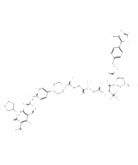 CC(=O)c1c(C)c2cnc(Nc3ccc(N4CCN(C(=O)CCC(=O)NCC(=O)N[C@H](C(=O)N5C[C@H](O)C[C@H]5C(=O)NCc5ccc(-c6scnc6C)cc5)C(C)(C)C)CC4)cn3)nc2n(C2CCCC2)c1=O